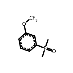 CP(C)(=O)c1cc[c]c(OC(F)(F)F)c1